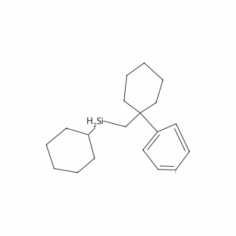 [c]1ccc(C2(C[SiH2]C3CCCCC3)CCCCC2)cc1